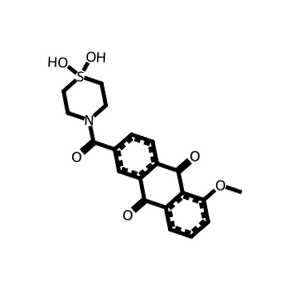 COc1cccc2c1C(=O)c1ccc(C(=O)N3CCS(O)(O)CC3)cc1C2=O